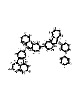 c1ccc(-c2cccc(-n3c4ccccc4c4cc(-c5ccc6c(c5)c5ccccc5n6-c5ccc6c(c5)-c5ccnc7nccc-6c57)ccc43)c2)cc1